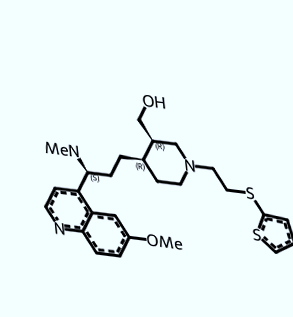 CN[C@@H](CC[C@@H]1CCN(CCSc2cccs2)C[C@@H]1CO)c1ccnc2ccc(OC)cc12